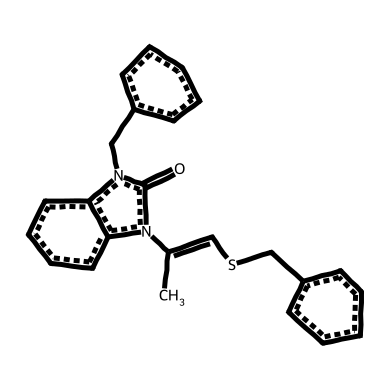 CC(=CSCc1ccccc1)n1c(=O)n(Cc2ccccc2)c2ccccc21